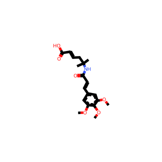 COc1cc(/C=C/C(=O)NC(C)(C)C/C=C/C(=O)O)cc(OC)c1OC